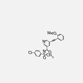 COc1ccccc1C#Cc1cncc(C(=O)N=S(C)(=O)c2ccc(Cl)cc2)c1